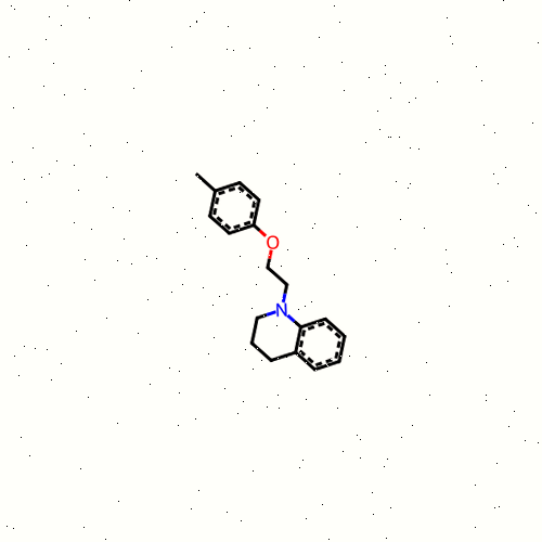 Cc1ccc(OCCN2CCCc3ccccc32)cc1